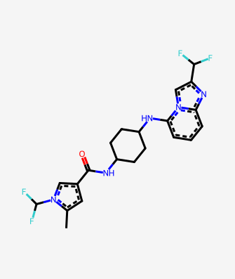 Cc1cc(C(=O)NC2CCC(Nc3cccc4nc(C(F)F)cn34)CC2)cn1C(F)F